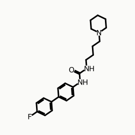 O=C(NCCCCN1CCCCC1)Nc1ccc(-c2ccc(F)cc2)cc1